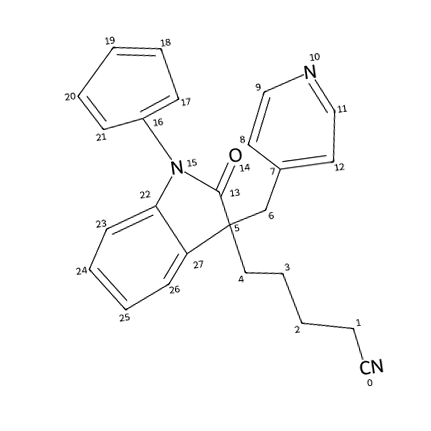 N#CCCCCC1(Cc2ccncc2)C(=O)N(c2ccccc2)c2ccccc21